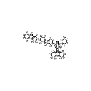 c1ccc(-c2nc(-c3ccc4c(c3)sc3cc(-c5ccc6c(c5)sc5ccccc56)ccc34)nc(-n3c4ccccc4c4ccccc43)n2)cc1